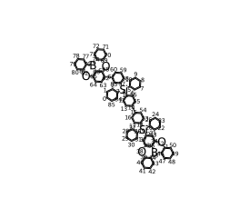 c1ccc([Si](c2ccccc2)(c2ccc(-c3ccc([Si](c4ccccc4)(c4ccccc4)c4cc5c6c(c4)Oc4ccccc4B6c4ccccc4O5)cc3)cc2)c2cccc(-c3ccc4c5c3Oc3ccccc3B5c3ccccc3O4)c2)cc1